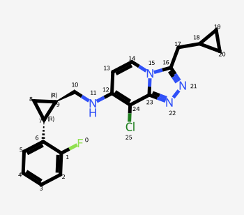 Fc1ccccc1[C@@H]1C[C@H]1CNc1ccn2c(CC3CC3)nnc2c1Cl